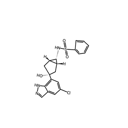 O=S(=O)(N[C@@H]1[C@@H]2C[C@@](O)(c3cc(Cl)cc4cn[nH]c34)C[C@@H]21)c1ccccc1